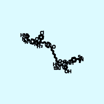 Cc1ncsc1-c1ccc(CNC(=O)[C@@H]2C[C@@H](O)CN2C(=O)[C@@H](NC(=O)CCCCCCCC(=O)N2CCN(CC[C@H](NC(=O)C3(N)CCN(c4ncnc5[nH]ccc45)CC3)c3ccc(Cl)cc3)CC2)C(C)(C)C)cc1